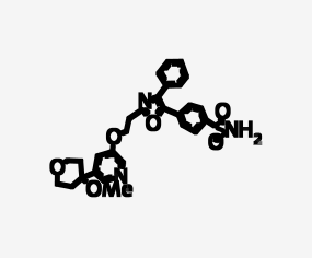 COC1(c2cncc(OCCc3nc(-c4ccccc4)c(-c4ccc(S(N)(=O)=O)cc4)o3)c2)CCOCC1